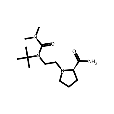 CN(C)C(=O)N(CCN1CCC[C@@H]1C(N)=O)C(C)(C)C